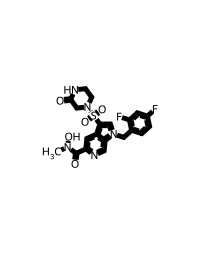 CN(O)C(=O)c1cc2c(S(=O)(=O)N3CCNC(=O)C3)cn(Cc3ccc(F)cc3F)c2cn1